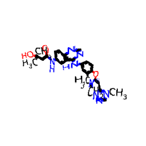 C=N/C(=C\c1nncn1C)Oc1ccc(Nc2ncnc3ccc(NC(=O)CC(C)(C)O)cc23)cc1C